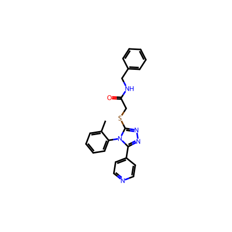 Cc1ccccc1-n1c(SCC(=O)NCc2ccccc2)nnc1-c1ccncc1